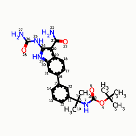 CC(C)(C)OC(=O)NC(C)(C)c1cccc(-c2ccc3c(C(N)=O)c(NC(N)=O)[nH]c3c2)c1